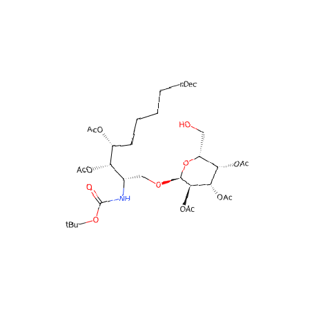 CCCCCCCCCCCCCC[C@@H](OC(C)=O)[C@@H](OC(C)=O)[C@H](CO[C@H]1O[C@H](CO)[C@H](OC(C)=O)[C@H](OC(C)=O)[C@H]1OC(C)=O)NC(=O)OC(C)(C)C